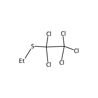 CCSC(Cl)(Cl)C(Cl)(Cl)Cl